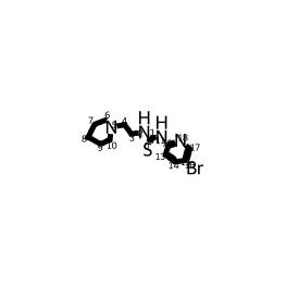 S=C(NCCN1CCCCC1)Nc1ccc(Br)cn1